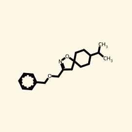 CC(C)C1CCC2(CC1)CC(COCc1ccccc1)=NO2